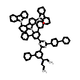 C=C/C=C(\C=C)c1cc(-c2ccccc2)cc(-c2nc(-c3ccc(-c4ccccc4)cc3)nc(-c3cc(-c4ccccc4)c(-n4c5cc(-n6c7ccccc7c7ccccc76)ccc5c5c(-n6c7ccccc7c7ccccc76)cccc54)c(-c4ccccc4)c3)n2)c1